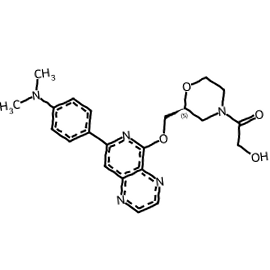 CN(C)c1ccc(-c2cc3nccnc3c(OC[C@@H]3CN(C(=O)CO)CCO3)n2)cc1